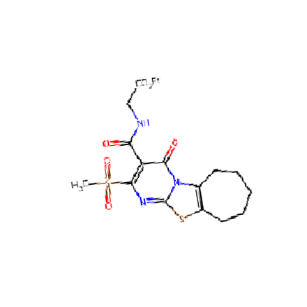 CCOC(=O)CNC(=O)c1c(S(C)(=O)=O)nc2sc3c(n2c1=O)CCCCC3